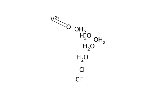 O.O.O.O.O.[Cl-].[Cl-].[O]=[V+2]